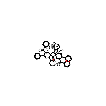 CN(C)CCC1(C(=O)C2(CCN(C)C)C=C(C(=O)c3ccccc3)C(c3ccccc3)=CC2C2CCCNC2)C=C(C(=O)c2ccccc2)C(c2ccccc2)=CC1C1CCCNC1